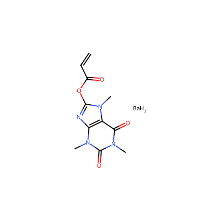 C=CC(=O)Oc1nc2c(c(=O)n(C)c(=O)n2C)n1C.[BaH2]